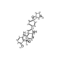 COc1cccc(Nc2ccnc3[nH]c(-c4ccc(O[C@H]5CCN(C)C5)cc4)cc23)c1P(C)(C)=O